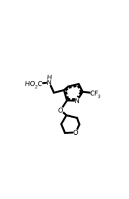 O=C(O)NCc1ccc(C(F)(F)F)nc1OC1CCOCC1